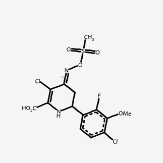 COc1c(Cl)ccc(C2C/C(=N\OS(C)(=O)=O)C(Cl)=C(C(=O)O)N2)c1F